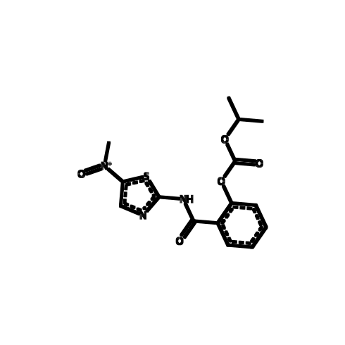 CC(C)OC(=O)Oc1ccccc1C(=O)Nc1ncc([N+](C)=O)s1